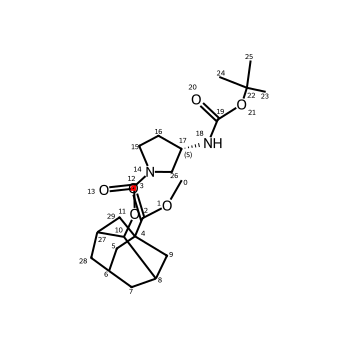 COC(=O)C12CC3CC(C1)C(OC(=O)N1CC[C@H](NC(=O)OC(C)(C)C)C1)C(C3)C2